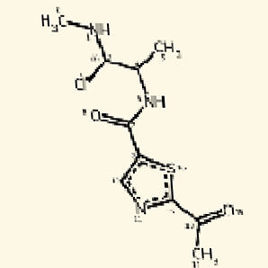 CN[C@H](Cl)C(C)NC(=O)c1cnc(C(C)=O)s1